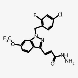 NNC(=O)C=Cc1nn(Cc2ccc(Cl)cc2F)c2cc(OC(F)(F)F)ccc12